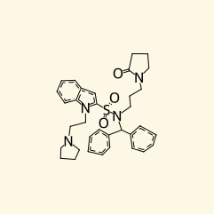 O=C1CCCN1CCCN(C(c1ccccc1)c1ccccc1)S(=O)(=O)c1cc2ccccc2n1CCN1CCCC1